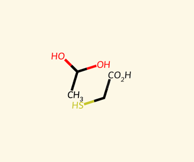 CC(O)O.O=C(O)CS